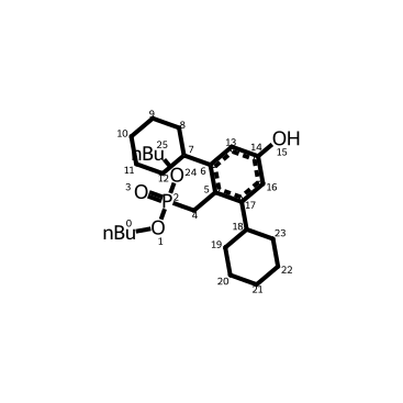 CCCCOP(=O)(Cc1c(C2CCCCC2)cc(O)cc1C1CCCCC1)OCCCC